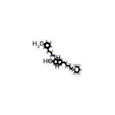 Cc1cccc(CC/C=C/[C@@H]2[C@H]3CC(CCCCN4CCCCC4)=C[C@H]3C[C@H]2O)c1